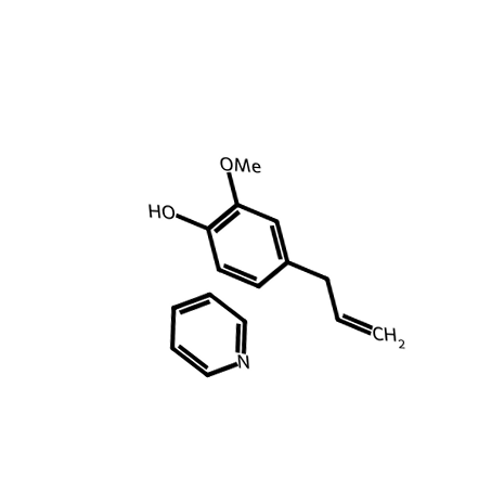 C=CCc1ccc(O)c(OC)c1.c1ccncc1